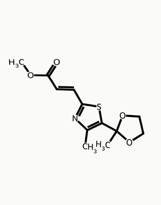 COC(=O)/C=C/c1nc(C)c(C2(C)OCCO2)s1